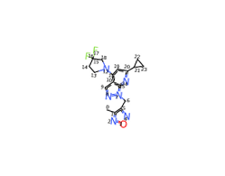 Cc1nonc1Cn1ncc2c(N3CCC(F)(F)C3)cc(C3CC3)nc21